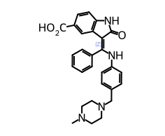 CN1CCN(Cc2ccc(N/C(=C3\C(=O)Nc4ccc(C(=O)O)cc43)c3ccccc3)cc2)CC1